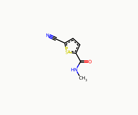 CNC(=O)c1ccc(C#N)s1